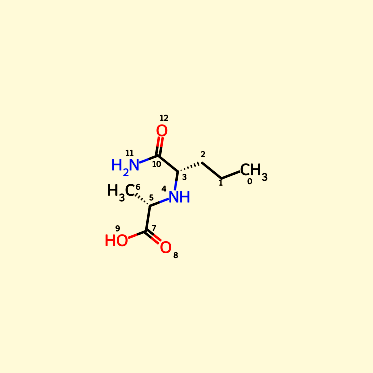 CCC[C@H](N[C@@H](C)C(=O)O)C(N)=O